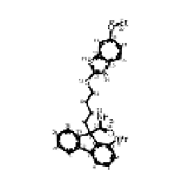 CCCc1cccc2c1C(CCCCSc1nc3ccc(OCC)cc3s1)(C(N)=O)c1ccccc1-2